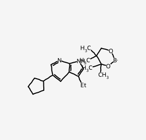 CC1(C)CO[B]OC1(C)C.CCc1c[nH]c2ncc(C3CCCC3)cc12